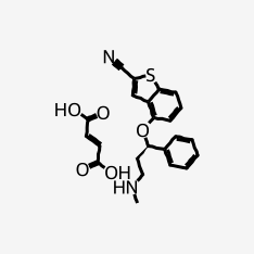 CNCC[C@@H](Oc1cccc2sc(C#N)cc12)c1ccccc1.O=C(O)C=CC(=O)O